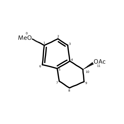 COc1ccc2c(c1)CCC[C@@H]2OC(C)=O